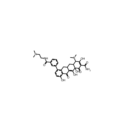 CN(C)CCNC(=O)c1cccc(-c2ccc(O)c3c2CC2CC4C(N(C)C)C(O)=C(C(N)=O)C(=O)C4(O)C(O)=C2C3=O)c1